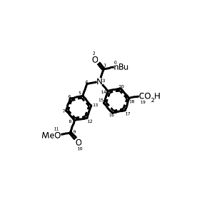 CCCCC(=O)N(Cc1ccc(C(=O)OC)cc1)c1cccc(C(=O)O)c1